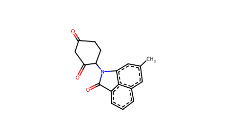 Cc1cc2c3c(cccc3c1)C(=O)N2C1CCC(=O)CC1=O